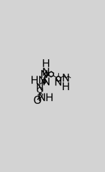 CCNCc1cncc(-c2ccc3[nH]nc(-c4ncc(CN5CCC6(CC5)CNC(=O)C6)[nH]4)c3c2)c1C